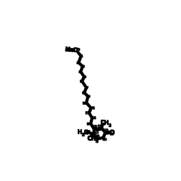 COCCCCCCCCCCCCCCC1=C(C)C(=O)CCC1(C)C